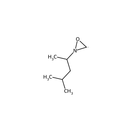 CC(C)CC(C)N1[CH]O1